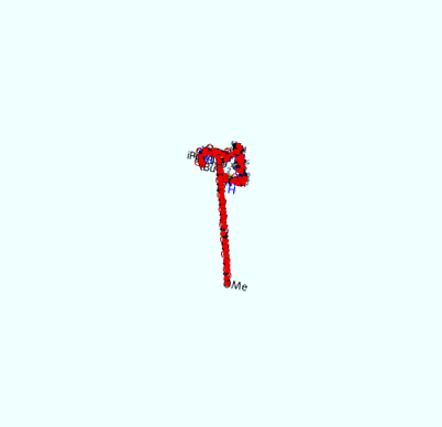 COCCOCCOCCOCCOCCOCCOCCOCCOCCOCCOCCOCCOCCOCCOCCOCCOCCCc1cc(NC(=O)[C@H](C)NC(=O)[C@@H](NC(=O)OC(C)(C)C)C(C)C)ccc1COC(=O)N(CCOC12CC3(C)CC(C)(CC(Cn4ncc(-c5ccc(N6CCc7cccc(C(=O)Nc8nc9ccccc9s8)c7C6)nc5C(=O)O)c4C)(C3)C1)C2)CCS(=O)(=O)O